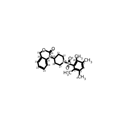 Cc1cc(C)c(C)c(S(=O)(=O)N2CCC(N3C(=O)OCc4ccccc43)CC2)c1C